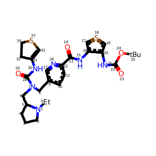 CCN1CCCC1CN(Cc1ccc(C(=O)Nc2cscc2NC(=O)OC(C)(C)C)nc1)C(=O)NC1=CSCC1